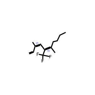 C=C/C(C)=C\C(=C(\C)CCCC)C(F)(F)F